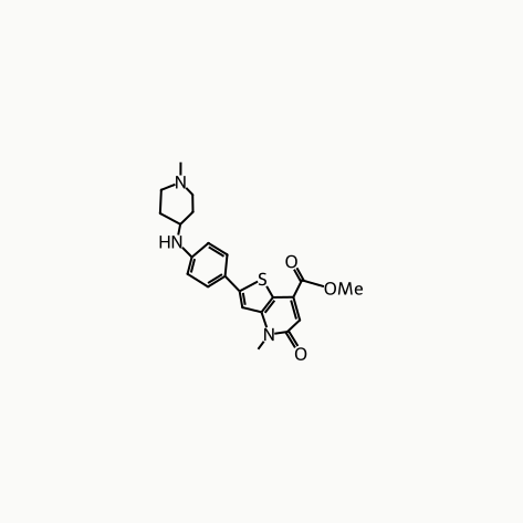 COC(=O)c1cc(=O)n(C)c2cc(-c3ccc(NC4CCN(C)CC4)cc3)sc12